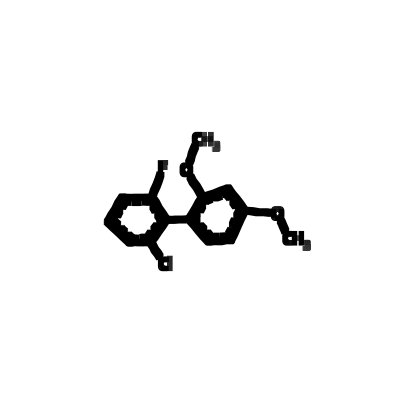 COc1ccc(-c2c(F)cccc2Cl)c(OC)c1